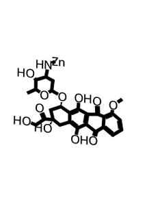 COc1cccc2c1C(=O)c1c(O)c3c(c(O)c1C2=O)C[C@@](O)(C(=O)CO)C[C@@H]3OC1CC([NH][Zn])C(O)C(C)O1